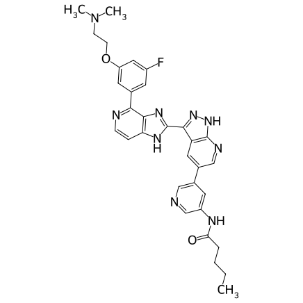 CCCCC(=O)Nc1cncc(-c2cnc3[nH]nc(-c4nc5c(-c6cc(F)cc(OCCN(C)C)c6)nccc5[nH]4)c3c2)c1